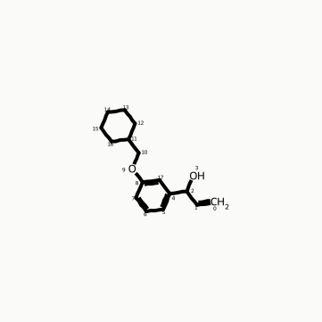 C=CC(O)c1cccc(OCC2CCCCC2)c1